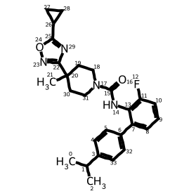 CC(C)c1ccc(-c2cccc(F)c2NC(=O)N2CCC(C)(c3noc(C4CC4)n3)CC2)cc1